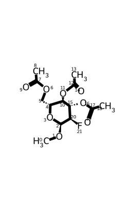 CO[C@H]1O[C@H](COC(C)=O)[C@@H](OC(C)=O)[C@H](OC(C)=O)[C@H]1F